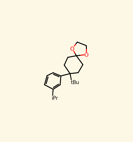 CC(C)c1cccc(C2(C(C)(C)C)CCC3(CC2)OCCO3)c1